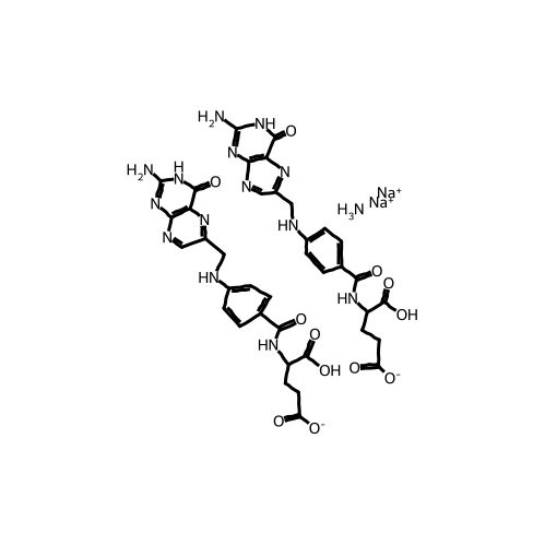 N.Nc1nc2ncc(CNc3ccc(C(=O)NC(CCC(=O)[O-])C(=O)O)cc3)nc2c(=O)[nH]1.Nc1nc2ncc(CNc3ccc(C(=O)NC(CCC(=O)[O-])C(=O)O)cc3)nc2c(=O)[nH]1.[Na+].[Na+]